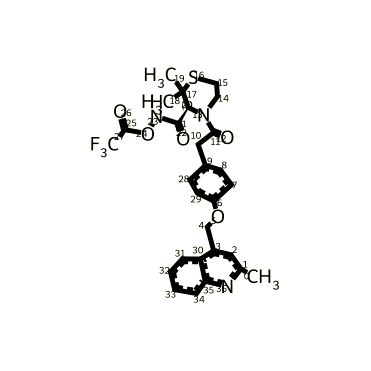 Cc1cc(COc2ccc(CC(=O)N3CCSC(C)(C)[C@@H]3C(=O)NOC(=O)C(F)(F)F)cc2)c2ccccc2n1